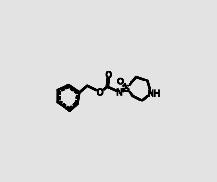 O=C(N=S1(=O)CCNCC1)OCc1ccccc1